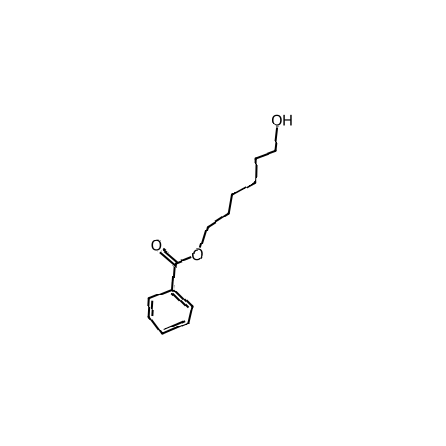 O=C(OCCCCCCO)c1ccccc1